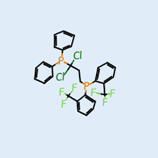 FC(F)(F)c1ccccc1P(CCC(Cl)(Cl)P(c1ccccc1)c1ccccc1)c1ccccc1C(F)(F)F